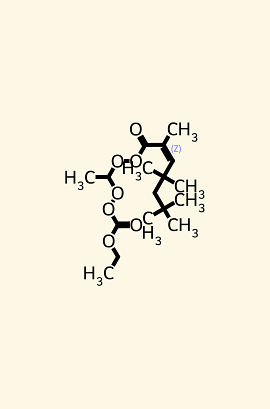 CCOC(=O)OOC(C)OOC(=O)/C(C)=C\C(C)(C)CC(C)(C)C